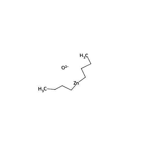 CCC[CH2][Zn][CH2]CCC.[O-2]